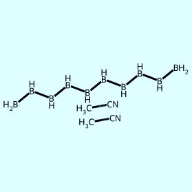 BBBBBBBBBB.CC#N.CC#N